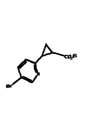 CCOC(=O)C1CC1c1ccc(Br)cn1